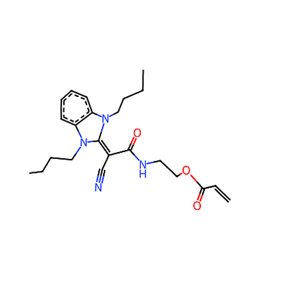 C=CC(=O)OCCNC(=O)C(C#N)=C1N(CCCC)c2ccccc2N1CCCC